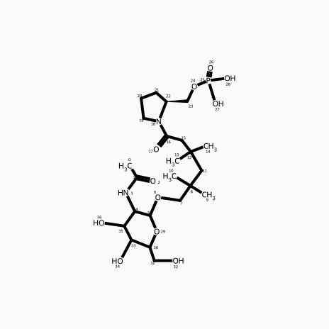 CC(=O)NC1C(OCC(C)(C)CC(C)(C)CC(=O)N2CCC[C@H]2COP(=O)(O)O)OC(CO)C(O)C1O